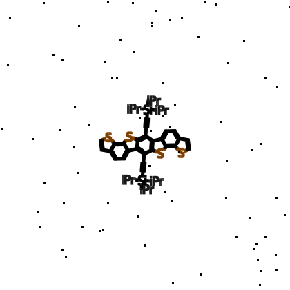 CC(C)[Si](C#Cc1c2sc3c(ccc4ccsc43)c2c(C#C[Si](C(C)C)(C(C)C)C(C)C)c2sc3c(ccc4ccsc43)c12)(C(C)C)C(C)C